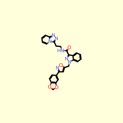 O=C(NCCc1nnc2ccccn12)c1nn(Cc2cc(-c3ccc4c(c3)OCO4)no2)c2ccccc12